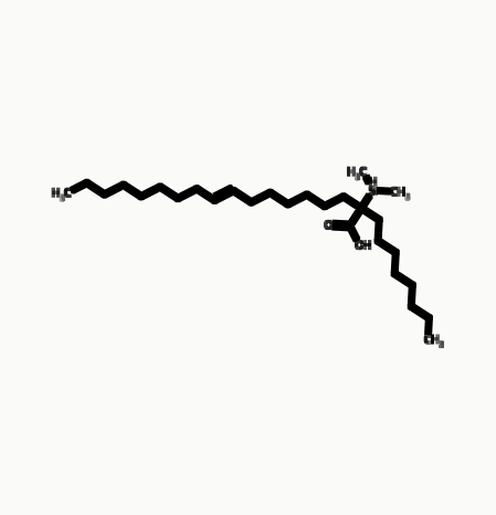 CCCCCCCCC=CCCCCCCC(CCCCCCCC)(C(=O)O)[SiH](C)C